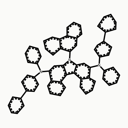 c1ccc(-c2ccc(N(c3ccccc3)c3cc4c(c5ccccc35)c3c5ccccc5c(N(c5ccccc5)c5ccc(-c6ccccc6)cc5)cc3n4-c3cc4ccccc4c4ccccc34)cc2)cc1